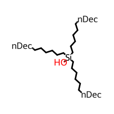 CCCCCCCCCCCCCCCC[Si](O)(CCCCCCCCCCCCCCCC)CCCCCCCCCCCCCCCC